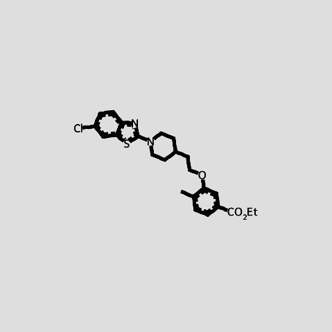 CCOC(=O)c1ccc(C)c(OCCC2CCN(c3nc4ccc(Cl)cc4s3)CC2)c1